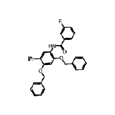 CC(C)c1cc(NC(=O)c2cccc(F)c2)c(OCc2ccccc2)cc1OCc1ccccc1